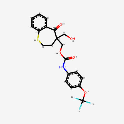 O=C(Nc1ccc(OC(F)(F)F)cc1)OCC1(CO)CCSc2ccccc2C1=O